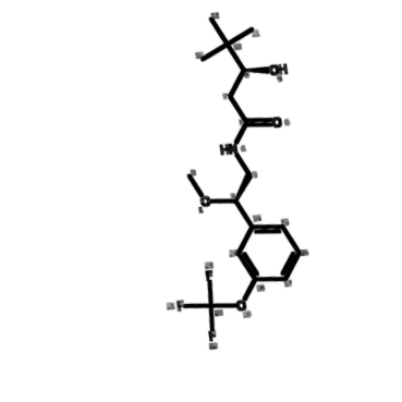 CO[C@@H](CNC(=O)C[C@H](O)C(C)(C)C)c1cccc(OC(F)(F)F)c1